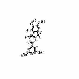 CCOc1cc2c(c(F)c1OCC)C(=N)N(CC(=O)c1cc(C(C)(C)C)nc(C(C)(C)C)c1)C2(C)C